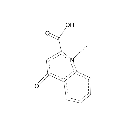 Cn1c(C(=O)O)cc(=O)c2ccccc21